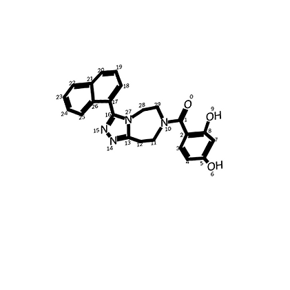 O=C(c1ccc(O)cc1O)N1CCc2nnc(-c3cccc4ccccc34)n2CC1